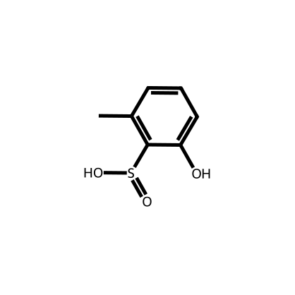 Cc1cccc(O)c1S(=O)O